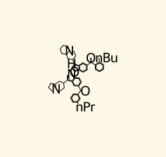 CCCCc1ccccc1C(=O)c1ccc2occ(C3CCN4CCCCC4C3)c2c1.CCCc1cccc(C(=O)c2ccc3[nH]cc(C4CCN5CCCC5C4)c3c2)c1